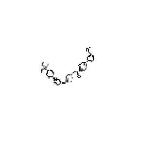 COc1cccc(N2CCN(C(=O)CC3CCN(Cc4ccn(-c5ccc(C(F)(F)F)cc5)c4)CC3)CC2)c1